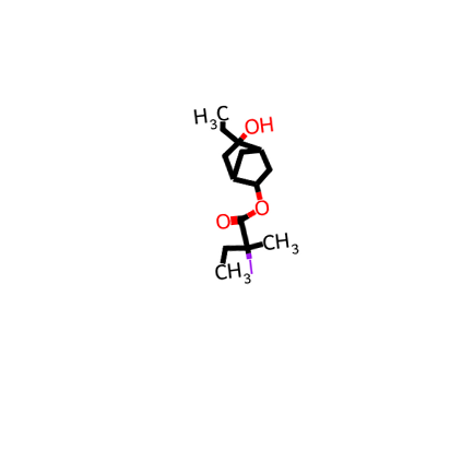 CCC(C)(I)C(=O)OC1CC2CC1CC2(O)CC